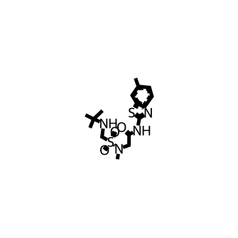 Cc1ccc2nc(NC(=O)CN(C)S(=O)(=O)CNC(C)(C)C)sc2c1